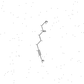 CC(C)C#CCCCNCC(C)C